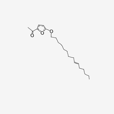 CCCCC/C=C/CCCCCCCCOc1ccc(C(C)=O)o1